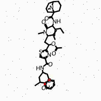 CCC(C)C(NC(=O)C12CCCC(CCC1)N2C)C(=O)N(C)C(CC(OC(C)=O)c1nc(C(=O)NC(Cc2ccccc2)CC(C)C(=O)O)cs1)C(C)C